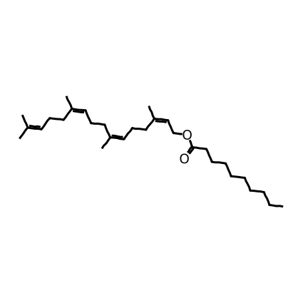 CCCCCCCCCC(=O)OCC=C(C)CCC=C(C)CCC=C(C)CCC=C(C)C